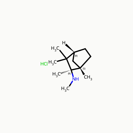 CN[C@@]1(C)C(C)(C)[C@@H]2CC[C@@]1(C)C2.Cl